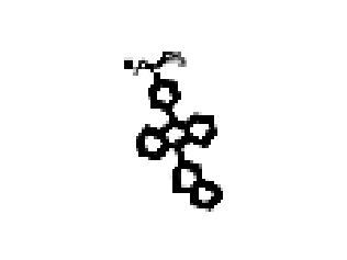 CP(C)c1ccc(-c2c3ccccc3c(-c3ccc4ccccc4c3)c3ccccc23)cc1